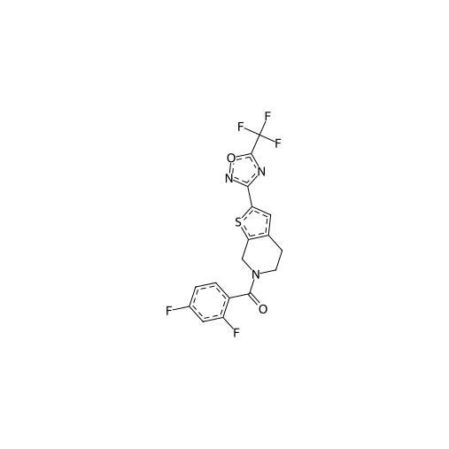 O=C(c1ccc(F)cc1F)N1CCc2cc(-c3noc(C(F)(F)F)n3)sc2C1